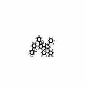 c1ccc(-c2cc(-c3ccccc3-c3ccccn3)nc(-c3ccc(-c4cccc5c4oc4ccccc45)c4c3oc3ccccc34)n2)cc1